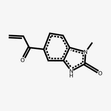 C=CC(=O)c1ccc2c(c1)[nH]c(=O)n2C